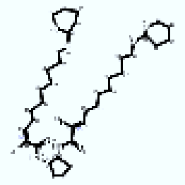 O=C(N[C@@H]1CCC[C@@H]1NC(=O)/C(F)=C\CCCCCCCCOC1CCCCO1)/C(F)=C/CCCCCCCCOC1CCCCO1